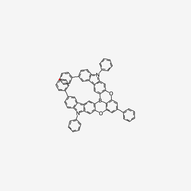 c1ccc(-c2cc3c4c(c2)Oc2cc5c(cc2B4c2cc4c6cc(-c7ccccc7)ccc6n(-c6ccccc6)c4cc2O3)c2cc(-c3ccccc3)ccc2n5-c2ccccc2)cc1